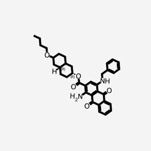 CCCCOC1CCC2C[C@H](OC(=O)c3cc(NCc4ccccc4)c4c(c3N)C(=O)c3ccccc3C4=O)CC[C@@H]2C1